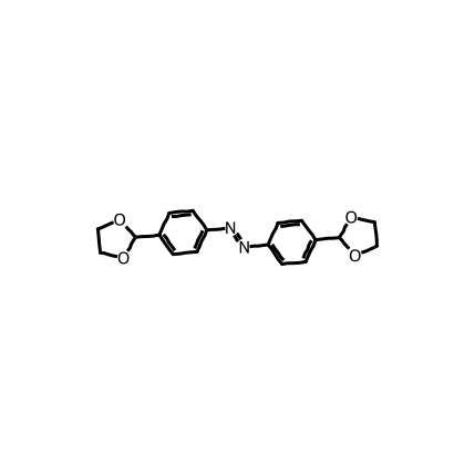 c1cc(C2OCCO2)ccc1N=Nc1ccc(C2OCCO2)cc1